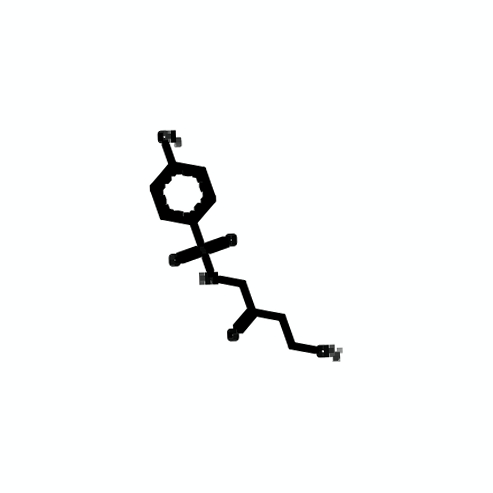 [CH2]CCC(=O)CNS(=O)(=O)c1ccc(C)cc1